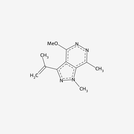 C=C(C)c1nn(C)c2c(C)nnc(OC)c12